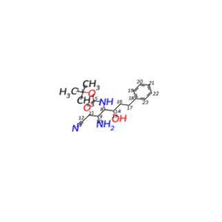 CC(C)(C)OC(=O)NC(C(N)CC#N)C(O)CCc1ccccc1